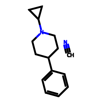 C#N.c1ccc(C2CCN(C3CC3)CC2)cc1